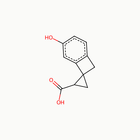 O=C(O)C1CC12Cc1ccc(O)cc12